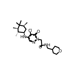 C[C@@H]1[C@@H](C)C(C)(C)[C@@H](C)C[C@H]1Nc1cnn(CC(=O)NCC2CCOCC2)c(=O)c1Cl